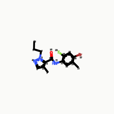 [CH2]CCn1ncc(C)c1C(=O)Nc1cc(C)c(Br)cc1F